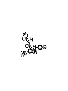 COc1ccc(Cn2ncc3cc(-n4cnnc4)cc(NC(=O)CCNC(=O)OC(C)(C)C)c32)cc1